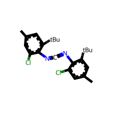 Cc1cc(Cl)c(N=C=Nc2c(Cl)cc(C)cc2C(C)(C)C)c(C(C)(C)C)c1